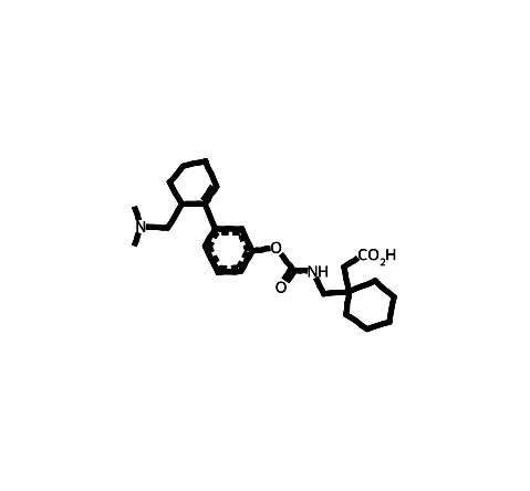 CN(C)CC1CCCC=C1c1cccc(OC(=O)NCC2(CC(=O)O)CCCCC2)c1